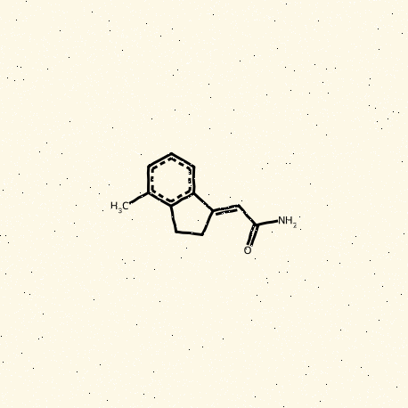 Cc1cccc2c1CCC2=CC(N)=O